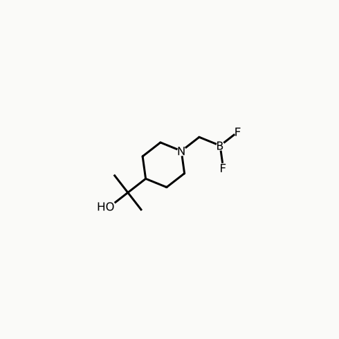 CC(C)(O)C1CCN(CB(F)F)CC1